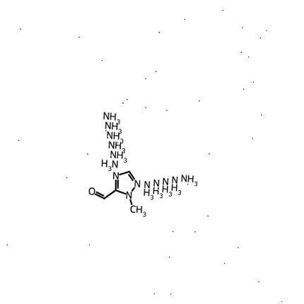 Cn1ncnc1C=O.N.N.N.N.N.N.N.N.N.N.N